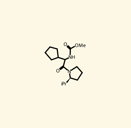 COC(=O)NC(C(=O)N1CCC[C@H]1C(C)C)C1CCCC1